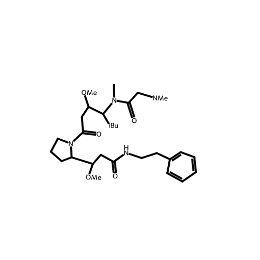 CCC(C)C(C(CC(=O)N1CCCC1C(CC(=O)NCCc1ccccc1)OC)OC)N(C)C(=O)CNC